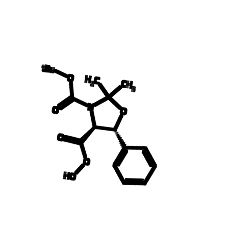 CC(C)(C)OC(=O)N1[C@H](C(=O)OO)[C@@H](c2ccccc2)OC1(C)C